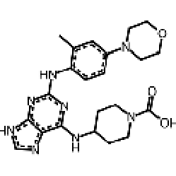 Cc1cc(N2CCOCC2)ccc1Nc1nc(NC2CCN(C(=O)O)CC2)c2nc[nH]c2n1